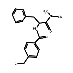 CN(C#N)C(=O)C(Cc1ccccc1)NC(=O)c1ccc(CCl)cc1